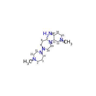 CN1CCCN(N2CCCN(C3CN(C)CCC3N)CC2)CC1